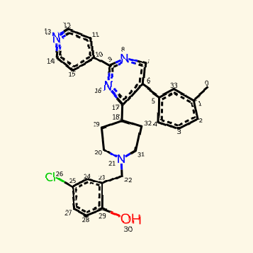 Cc1cccc(-c2cnc(-c3ccncc3)nc2C2CCN(Cc3cc(Cl)ccc3O)CC2)c1